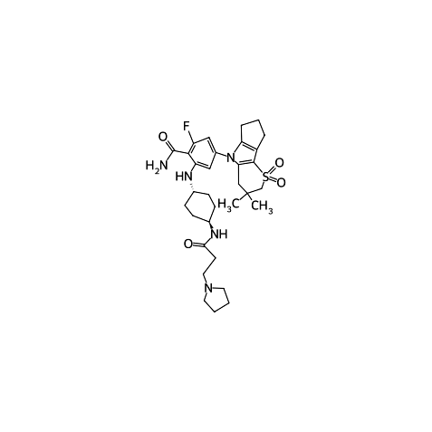 CC1(C)Cc2c(c3c(n2-c2cc(F)c(C(N)=O)c(N[C@H]4CC[C@H](NC(=O)CCN5CCCC5)CC4)c2)CCC3)S(=O)(=O)C1